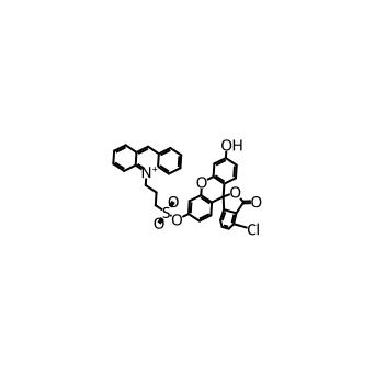 O=C1OC2(c3ccc(O)cc3Oc3cc(OS(=O)(=O)CCC[n+]4c5ccccc5cc5ccccc54)ccc32)c2cccc(Cl)c21